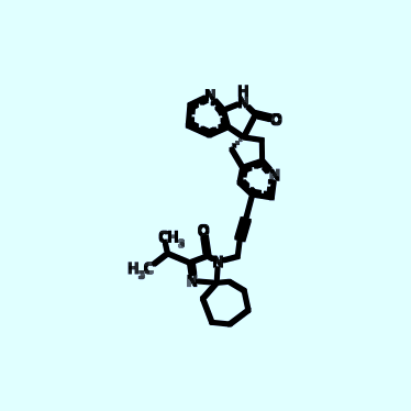 CC(C)C1=NC2(CCCCCC2)N(CC#Cc2cnc3c(c2)C[C@@]2(C3)C(=O)Nc3ncccc32)C1=O